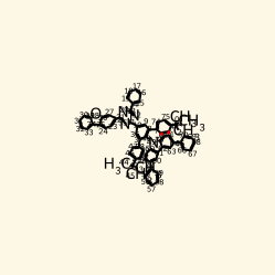 CC(C)(C)c1ccc(-c2cc(-c3nc(-c4ccccc4)nc(-c4ccc5c(c4)oc4ccccc45)n3)cc(-c3ccc(C(C)(C)C)cc3)c2-n2c3ccc(-c4ccccc4)cc3c3cc(-c4ccccc4)ccc32)cc1